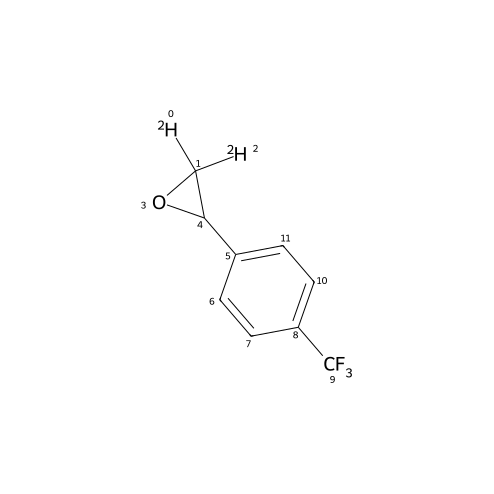 [2H]C1([2H])OC1c1ccc(C(F)(F)F)cc1